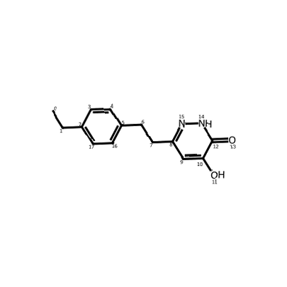 CCc1ccc(CCc2cc(O)c(=O)[nH]n2)cc1